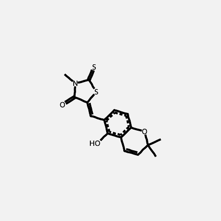 CN1C(=O)/C(=C/c2ccc3c(c2O)C=CC(C)(C)O3)SC1=S